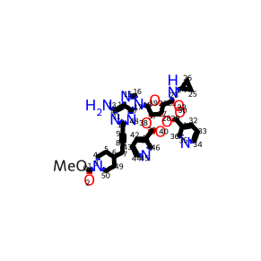 COC(=O)N1CCC(CC#Cc2nc(N)c3ncn(C4OC(C(=O)NC5CC5)C(OC(=O)c5cccnc5)C4OC(=O)c4cccnc4)c3n2)CC1